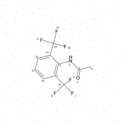 CC(=O)Nc1c(C(F)(F)F)cccc1C(F)(F)F